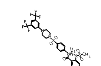 CN(c1ccccc1C(=O)Nc1ccc(S(=O)(=O)N2CCN(c3cc(C(F)(F)F)cc(C(F)(F)F)c3)CC2)cc1)S(C)(=O)=O